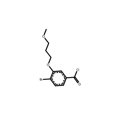 COCCCOc1cc(C(=O)Cl)ccc1Br